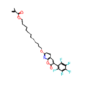 C=C(C)C(=O)OCCCCCCCCCCCOc1ccc2cc(-c3c(F)c(F)c(F)c(F)c3F)c(=O)oc2n1